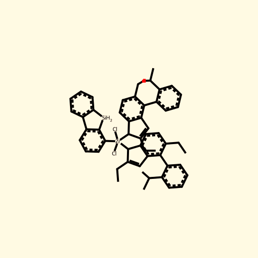 CCC1=Cc2c(ccc(CC)c2-c2ccccc2C(C)C)[CH]1[Zr]([Cl])([Cl])([c]1cccc2c1[SiH2]c1ccccc1-2)[CH]1C(CC)=Cc2c1ccc(CC)c2-c1ccccc1C(C)C